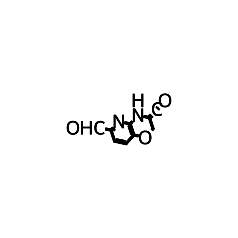 O=C=C1COc2ccc(C=O)nc2N1